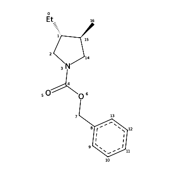 CC[C@H]1CN(C(=O)OCc2ccccc2)C[C@@H]1C